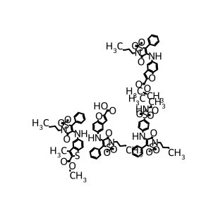 CCCCN1C(=O)C(Nc2ccc(S(=O)(=O)NC(C)=O)cc2)=C(c2ccccc2)S1(=O)=O.CCCCN1C(=O)C(Nc2ccc3oc(C(=O)O)cc3c2)=C(c2ccccc2)S1(=O)=O.CCCCN1C(=O)C(Nc2ccc3oc(C(=O)OC(C)(C)C)cc3c2)=C(c2ccccc2)S1(=O)=O.CCCCN1C(=O)C(Nc2ccc3sc(C(=O)OCC)c(C)c3c2)=C(c2ccccc2)S1(=O)=O